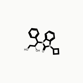 O=c1n(C2CCC2)c2ccccc2n1C(c1ccccc1)[C@H](O)CO